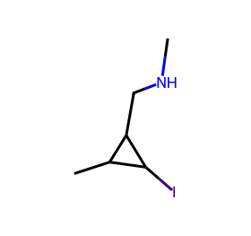 CNCC1C(C)C1I